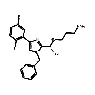 CNCCCN[C@@H](c1nc(-c2cc(F)ccc2F)cn1Cc1ccccc1)C(C)(C)C